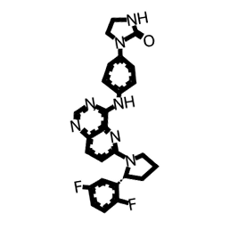 O=C1NCCN1c1ccc(Nc2ncnc3ccc(N4CCC[C@@H]4c4cc(F)ccc4F)nc23)cc1